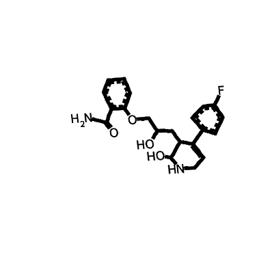 NC(=O)c1ccccc1OCC(O)CC1C(c2ccc(F)cc2)=CCNC1O